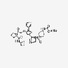 CCCCOC(=O)NC1CCN(C(=O)C(CC(C)C)NC(=O)c2cc(OCC(=O)N3CCCC3C(=O)NC3CCC3)n(-c3ccccc3)n2)CC1